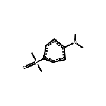 CN(C)c1ccc(P(C)(C)=O)cc1